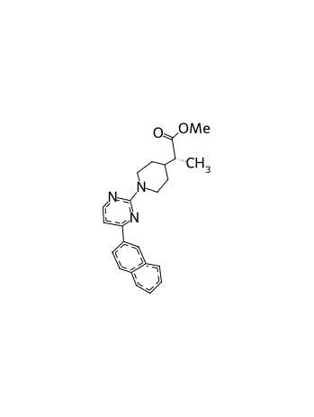 COC(=O)[C@H](C)C1CCN(c2nccc(-c3ccc4ccccc4c3)n2)CC1